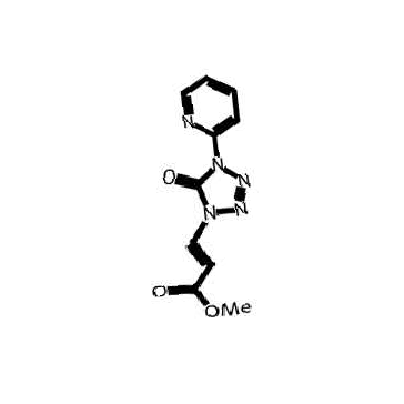 COC(=O)/C=C/n1nnn(-c2ccccn2)c1=O